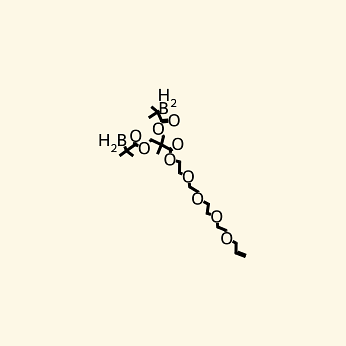 BC(C)(C)C(=O)OCC(C)(COC(=O)C(B)(C)C)C(=O)OCCOCCOCCOCCOCC=C